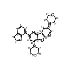 C1=Cc2c(cccc2-c2nc(N3CCOCC3)c3oc4ncc(N5CCOCC5)cc4c3n2)C1